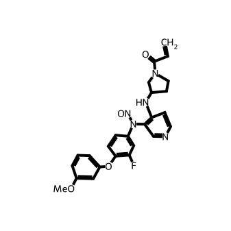 C=CC(=O)N1CCC(Nc2ccncc2N(N=O)c2ccc(Oc3cccc(OC)c3)c(F)c2)C1